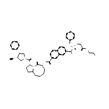 CCCOC(=O)[C@H](C)NP(=O)(Oc1ccccc1)C(F)c1ccc2ccc(C(=O)N[C@H]3CCCC[C@H]4CC[C@@H](C(=O)N5C[C@@H](C#N)[C@H](c6ccccc6)C5)N4C3=O)cc2c1